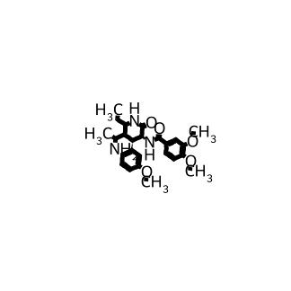 CCC1NC(=O)[C@@H](NC(=O)c2ccc(OC)c(OC)c2)[C@H](c2cccc(OC)c2)C1C(C)N